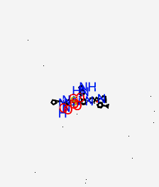 O=C(NS(=O)(=O)c1cnc(NCC2C3CCCC32)c([N+](=O)[O-])c1)c1ccc(N2CCC3(CC2)CC(N2CCC4C[C@]42c2ccccc2C2CC2)C3)cc1Oc1cnc2[nH]ccc2c1